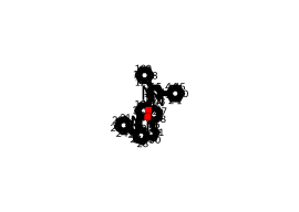 c1ccc(-c2cc(-c3ccccc3)nc(-c3ccc(-n4c5ccccc5c5ccc6ccn(-c7ccccc7)c6c54)cc3)n2)cc1